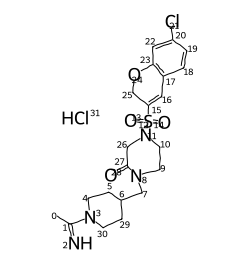 CC(=N)N1CCC(CN2CCN(S(=O)(=O)C3=Cc4ccc(Cl)cc4OC3)CC2=O)CC1.Cl